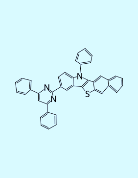 c1ccc(-c2cc(-c3ccccc3)nc(-c3ccc4c(c3)c3sc5cc6ccccc6cc5c3n4-c3ccccc3)n2)cc1